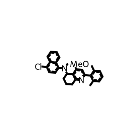 COc1cc(-c2c(C)cccc2C)nc2c1C(N(C)c1ccc(Cl)c3ccccc13)CCC2